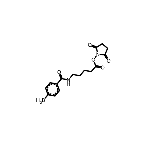 Bc1ccc(C(=O)NCCCCC(=O)ON2C(=O)CCC2=O)cc1